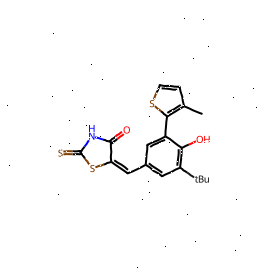 Cc1ccsc1-c1cc(C=C2SC(=S)NC2=O)cc(C(C)(C)C)c1O